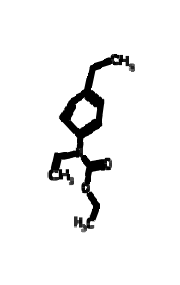 CCOC(=O)N(CC)c1ccc(CC)cc1